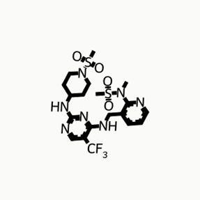 CN(c1ncccc1CNc1nc(NC2CCN(S(C)(=O)=O)CC2)ncc1C(F)(F)F)S(C)(=O)=O